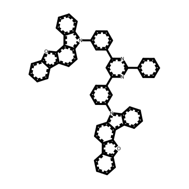 c1ccc(-c2nc(-c3cccc(-n4c5ccccc5c5c6oc7ccccc7c6ccc54)c3)cc(-c3cccc(-n4c5ccccc5c5c6oc7ccccc7c6ccc54)c3)n2)cc1